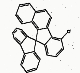 Clc1cccc2c1-c1ccc3ccccc3c1C21c2ccccc2-c2ccccc21